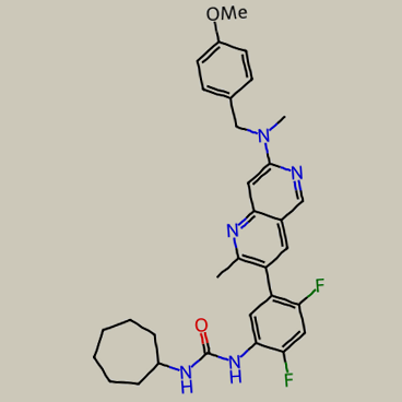 COc1ccc(CN(C)c2cc3nc(C)c(-c4cc(NC(=O)NC5CCCCCC5)c(F)cc4F)cc3cn2)cc1